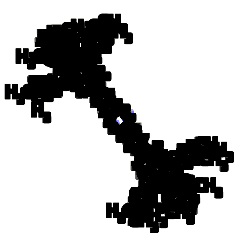 CC(C)c1cccc(C(C)C)c1N1C(=O)c2cc(Oc3ccc(C(C)(C)C)cc3)c3c4ccc5c6c(ccc(c7c(Oc8ccc(C(C)(C)C)cc8)cc(c2c37)C1=O)c64)-c1cc2cc3c(cc2cc1-5)/C=C\c1cc2cc4c(cc2cc1/C=C\3)-c1ccc2c3c(Oc5ccc(C(C)(C)C)cc5)cc5c6c(cc(Oc7ccc(C(C)(C)C)cc7)c(c7ccc-4c1c72)c63)C(=O)N(c1c(C(C)C)cccc1C(C)C)C5=O